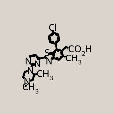 Cc1cc2nc(-c3ccnc(N4CCN(C)CC4C)n3)sc2c(-c2ccc(Cl)cc2)c1CC(=O)O